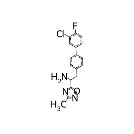 Cc1noc(C(N)Cc2ccc(-c3ccc(F)c(Cl)c3)cc2)n1